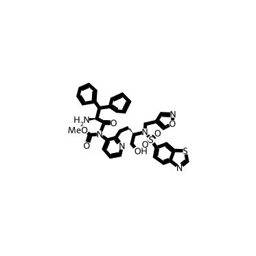 COC(=O)N(C(=O)[C@@H](N)C(c1ccccc1)c1ccccc1)c1cccnc1CC[C@@H](CO)N(Cc1cnoc1)S(=O)(=O)c1ccc2ncsc2c1